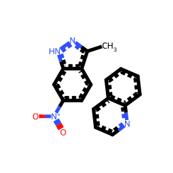 Cc1n[nH]c2cc([N+](=O)[O-])ccc12.c1ccc2ncccc2c1